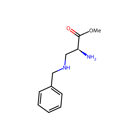 COC(=O)[C@@H](N)CNCc1ccccc1